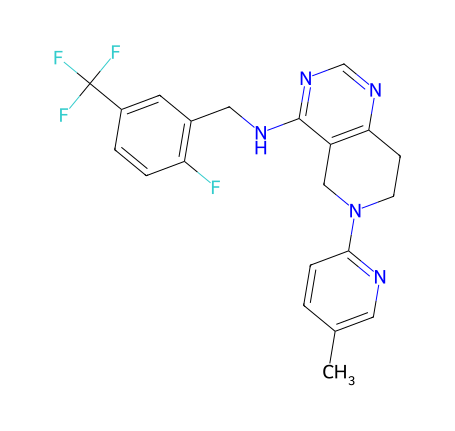 Cc1ccc(N2CCc3ncnc(NCc4cc(C(F)(F)F)ccc4F)c3C2)nc1